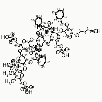 C#CCCCO[C@H]1C[C@H](OCc2ccccc2)[C@H](O[C@@H]2OC(COS(=O)(=O)O)[C@@H](O[C@H]3C[C@H](OCc4ccccc4)[C@H](O[C@@H]4OC(COS(=O)(=O)O)[C@@H](O[C@H]5C[C@H](OCc6ccccc6)C(O[C@@H]6OC(COS(=O)(=O)O)[C@@H](C)[C@H](C)C6NS(=O)(=O)O)CO5)CC4NS(=O)(=O)O)CO3)[C@H](C)C2NS(=O)(=O)O)CO1